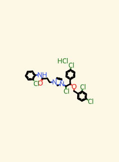 Cl.O=C(CCN1C=CN(C(Cl)C(OCc2ccc(Cl)cc2Cl)c2ccc(Cl)cc2)C1)Nc1ccccc1Cl